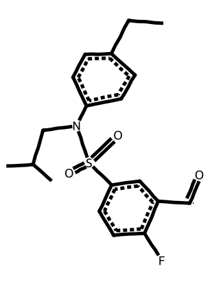 CCc1ccc(N(CC(C)C)S(=O)(=O)c2ccc(F)c([C]=O)c2)cc1